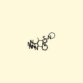 C/C(c1ccc(N2CCCCC2)s1)=c1/c(-c2ccccn2)nn2nnnc12